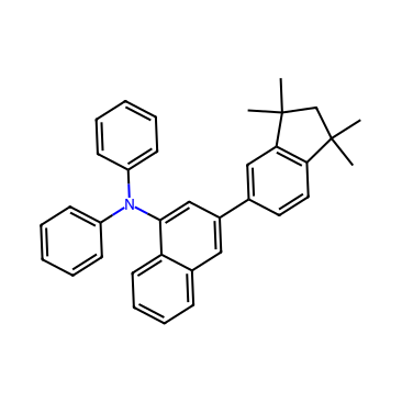 CC1(C)CC(C)(C)c2cc(-c3cc(N(c4ccccc4)c4ccccc4)c4ccccc4c3)ccc21